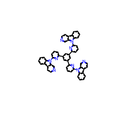 c1cc(-c2cc(-c3cccc(-n4c5ccccc5c5ccncc54)n3)cc(-c3cccc(-n4c5ccccc5c5ccncc54)n3)c2)nc(-n2c3ccccc3c3ccncc32)c1